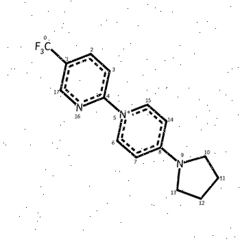 FC(F)(F)c1ccc(-[n+]2ccc(N3CCCC3)cc2)nc1